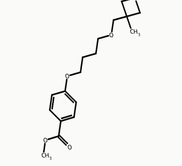 COC(=O)c1ccc(OCCCCOCC2(C)COC2)cc1